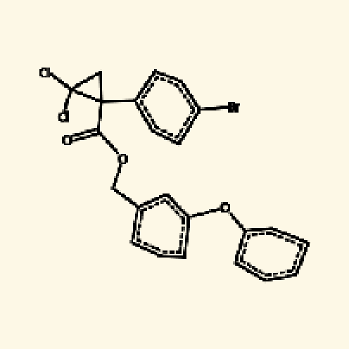 O=C(OCc1cccc(Oc2ccccc2)c1)C1(c2ccc(Br)cc2)CC1(Cl)Cl